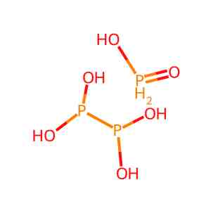 O=[PH2]O.OP(O)P(O)O